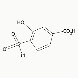 O=C(O)c1ccc(S(=O)(=O)Cl)c(O)c1